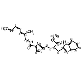 C=N/C=C\C=C(/C)CNC(=O)c1csc(CCN(Cc2nc3ccccc3[nH]2)C(=O)OC(C)(C)C)n1